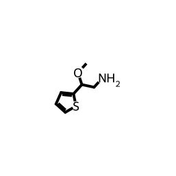 COC(CN)c1cccs1